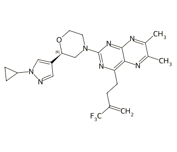 C=C(CCc1nc(N2CCO[C@H](c3cnn(C4CC4)c3)C2)nc2nc(C)c(C)nc12)C(F)(F)F